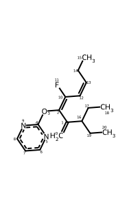 C=C(/C(Oc1ncccn1)=C(F)\C=C/CC)C(CC)CC